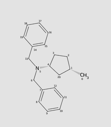 C[C@H]1CC[C@@H](N(Cc2ccccc2)Cc2ccccc2)C1